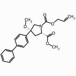 C=CCOC(=O)N1C[C@](OC)(c2ccc(-c3ccccc3)cc2)C[C@H]1C(=O)OC